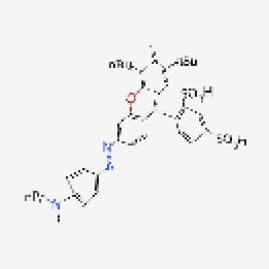 C=c1c(CCCC)cc2c(c1CCCC)Oc1cc(/N=N/c3ccc(N(C)CCC)cc3)ccc1C=2c1ccc(S(=O)(=O)O)cc1S(=O)(=O)O